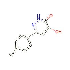 N#Cc1ccc(-c2cc(O)c(=O)[nH]n2)cc1